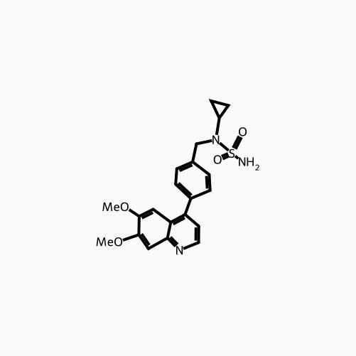 COc1cc2nccc(-c3ccc(CN(C4CC4)S(N)(=O)=O)cc3)c2cc1OC